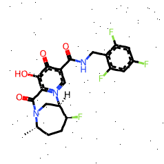 C[C@H]1CC[C@H](F)[C@H]2CN1C(=O)c1c(O)c(=O)c(C(=O)NCc3c(F)cc(F)cc3F)cn12